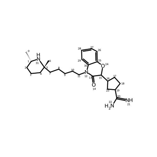 C[C@H]1CCC[C@@](C)(CCCCCN2C(=O)C(C3CCC(C(=N)N)C3)Oc3ccccc32)N1